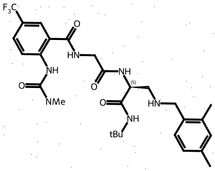 CNC(=O)Nc1ccc(C(F)(F)F)cc1C(=O)NCC(=O)N[C@@H](CNCc1ccc(C)cc1C)C(=O)NC(C)(C)C